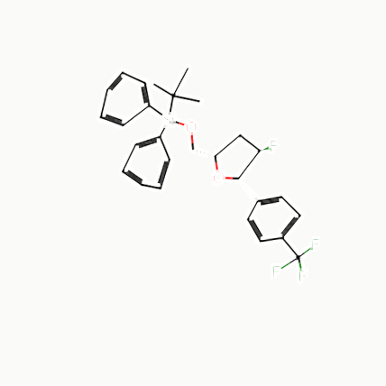 CC(C)(C)[Si](OC[C@@H]1C[C@@H](F)[C@H](c2ccc(C(F)(F)F)cc2)O1)(c1ccccc1)c1ccccc1